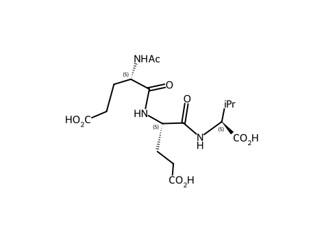 CC(=O)N[C@@H](CCC(=O)O)C(=O)N[C@@H](CCC(=O)O)C(=O)N[C@H](C(=O)O)C(C)C